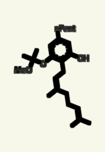 CCCCCc1cc(O)c(CC=C(C)CCC=C(C)C)c(OC(C)(C)OC)c1